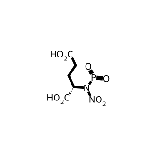 O=C(O)CC[C@@H](C(=O)O)N([N+](=O)[O-])P(=O)=O